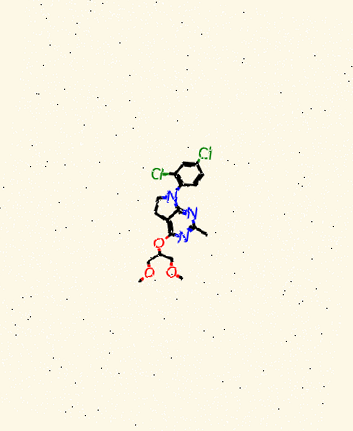 COCC(COC)Oc1nc(C)nc2c1CCN2c1ccc(Cl)cc1Cl